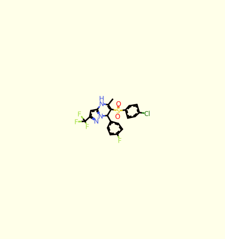 CC1=C(S(=O)(=O)c2ccc(Cl)cc2)C(c2ccc(F)cc2)n2nc(C(F)(F)F)cc2N1